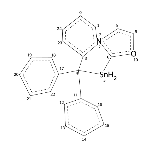 c1ccc([C]([SnH2][c]2ncco2)(c2ccccc2)c2ccccc2)cc1